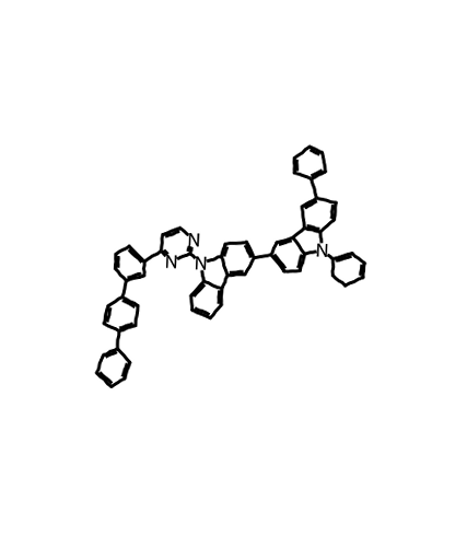 C1=CCCC(n2c3ccc(-c4ccccc4)cc3c3cc(-c4ccc5c(c4)c4ccccc4n5-c4nccc(-c5cccc(-c6ccc(-c7ccccc7)cc6)c5)n4)ccc32)=C1